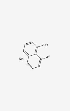 [Mn].[O-][n+]1cccc2cccc(O)c21